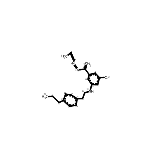 C=C(/N=N\C=C/C)c1cc(Cl)cc(NCCc2ccc(CCC)cc2)c1